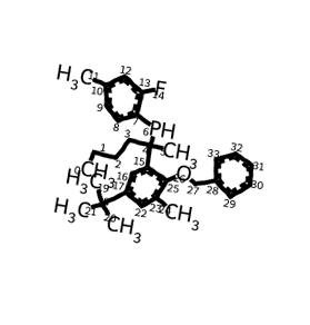 CCCCC(C)(Pc1ccc(C)cc1F)c1cc(C(C)(C)C)cc(C)c1OCc1ccccc1